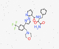 NC(=O)C(=O)C(Cc1ccccc1)NC(=O)c1cccnc1-n1ccc(-c2cc(C(F)(F)F)ccc2CN2CCOCC2)n1